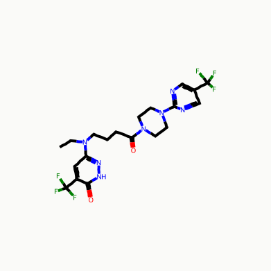 CCN(CCCC(=O)N1CCN(c2ncc(C(F)(F)F)cn2)CC1)c1cc(C(F)(F)F)c(=O)[nH]n1